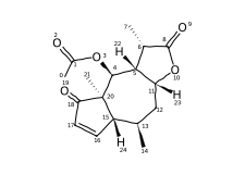 CC(=O)O[C@H]1[C@@H]2[C@H](C)C(=O)O[C@@H]2C[C@@H](C)[C@@H]2C=CC(=O)[C@]21C